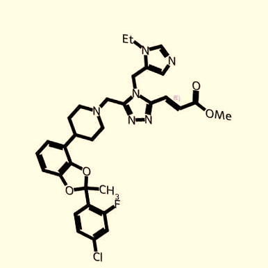 CCn1cncc1Cn1c(/C=C/C(=O)OC)nnc1CN1CCC(c2cccc3c2OC(C)(c2ccc(Cl)cc2F)O3)CC1